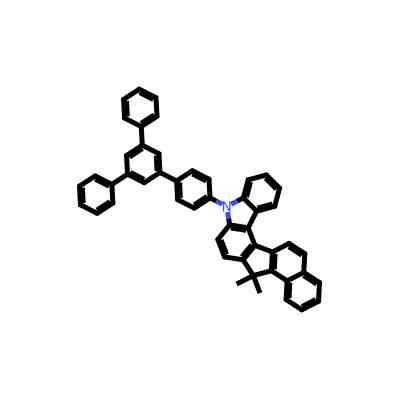 CC1(C)c2ccc3c(c2-c2ccc4ccccc4c21)c1ccccc1n3-c1ccc(-c2cc(-c3ccccc3)cc(-c3ccccc3)c2)cc1